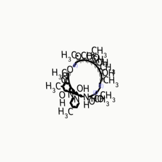 CO.CO[C@H]1/C=C/O[C@@]2(C)Oc3c(C)c(O)c4c(O)c(c5c(nc6cc(C)ccn65)c4c3C2=O)NC(=O)/C(C)=C\C=C\[C@H](C)[C@H](O)[C@@H](C)[C@@H](O)[C@@H](C)[C@H](OC(C)=O)[C@@H]1C